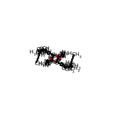 CCCCCCCC(=O)N[C@H](C(=O)N[C@@H](C)C(=O)Nc1ccc(CSP2(=O)OC[C@H]3O[C@@H](n4cnc5c(O)ncnc54)[C@H](F)[C@@H]3OP(=O)(SCc3ccc(NC(=O)[C@H](C)NC(=O)[C@@H](NC(=O)CCCCCCC)C(C)C)cc3)OC[C@H]3O[C@@H](n4cnc5c(N)ncnc54)[C@H](F)[C@@H]3O2)cc1)C(C)C